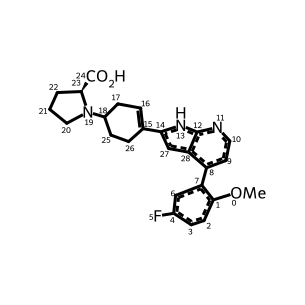 COc1ccc(F)cc1-c1ccnc2[nH]c(C3=CCC(N4CCC[C@H]4C(=O)O)CC3)cc12